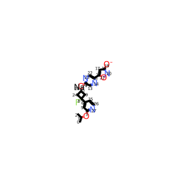 CC(C)Oc1cc([C@]2(F)C[C@@H](Oc3cnc(-c4cc([O-])no4)cn3)C2)ccn1.[Na+]